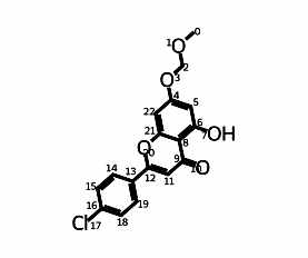 COCOc1cc(O)c2c(=O)cc(-c3ccc(Cl)cc3)oc2c1